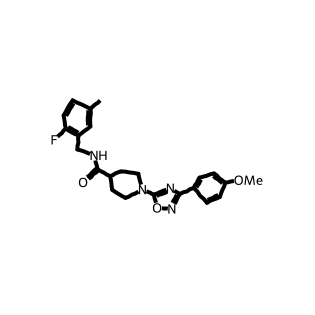 COc1ccc(-c2noc(N3CCC(C(=O)NCc4cc(C)ccc4F)CC3)n2)cc1